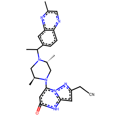 Cc1cnc2ccc(C(C)N3C[C@H](C)N(c4cc(=O)[nH]c5cc(CC#N)nn45)C[C@H]3C)cc2n1